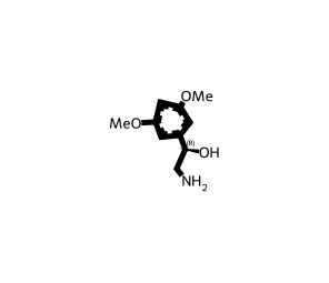 COc1cc(OC)cc([C@@H](O)CN)c1